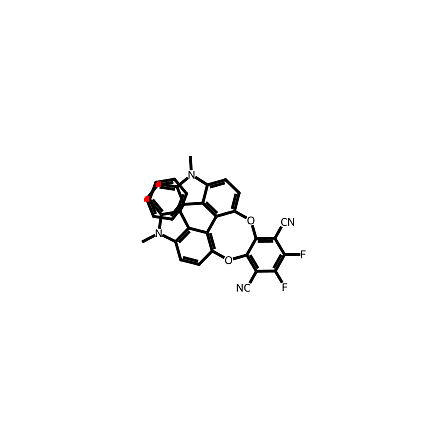 Cn1c2ccccc2c2c3c(ccc21)oc1c(C#N)c(F)c(F)c(C#N)c1oc1ccc2c(c4ccccc4n2C)c13